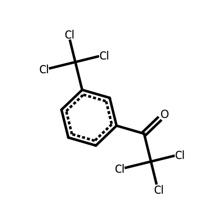 O=C(c1cccc(C(Cl)(Cl)Cl)c1)C(Cl)(Cl)Cl